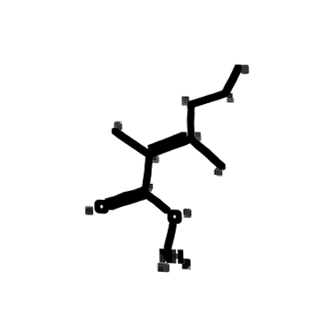 CCC/C(C)=C(\C)C(=O)ON